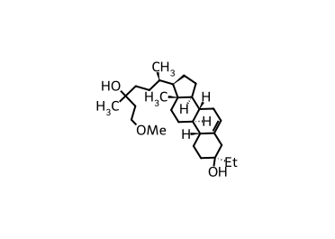 CC[C@]1(O)CC[C@H]2C(=CC[C@@H]3[C@@H]2CC[C@]2(C)[C@@H]([C@H](C)CCC(C)(O)CCOC)CC[C@@H]32)C1